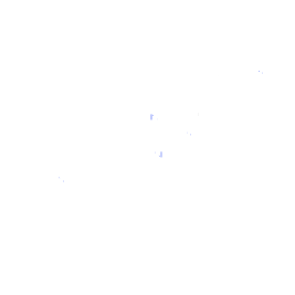 O=c1nc(NCCCCc2ncccc2Cl)[nH]cc1C(O)c1ccncc1